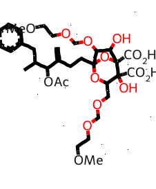 C=C(CCC12OC(COCOCCOC)C(O)(C(=O)O)C(C(=O)O)(O1)C(O)C2OCOCCOC)C(OC(C)=O)C(C)Cc1ccccc1